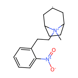 C[N+]1(CCc2ccccc2[N+](=O)[O-])C2C[CH]CC1CC2